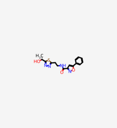 C[C@@H](O)c1nnc(CCNC(=O)c2cc(-c3ccccc3)on2)s1